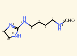 O=CNCCCCNC1=NCCN1